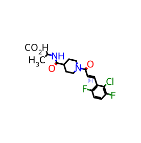 CC(NC(=O)C1CCN(C(=O)/C=C/c2c(F)ccc(F)c2Cl)CC1)C(=O)O